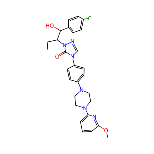 CCC(C(O)c1ccc(Cl)cc1)n1ncn(-c2ccc(N3CCN(c4cccc(OC)n4)CC3)cc2)c1=O